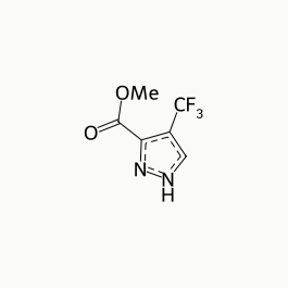 COC(=O)c1n[nH]cc1C(F)(F)F